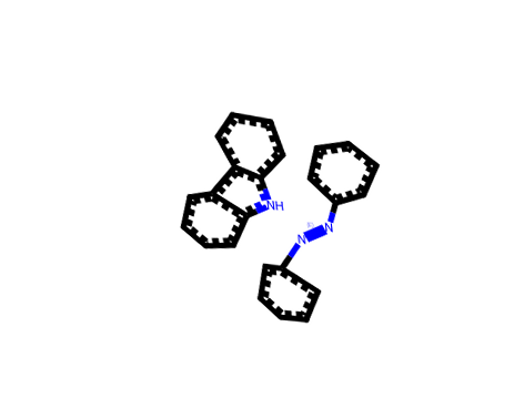 c1ccc(/N=N/c2ccccc2)cc1.c1ccc2c(c1)[nH]c1ccccc12